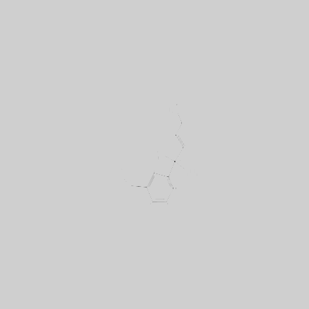 CCC=CC(C)(C)c1cccc(OC)c1